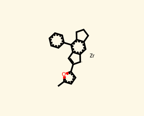 Cc1ccc(C2=Cc3c(cc4c(c3-c3ccccc3)CCC4)[CH]2)o1.[Zr]